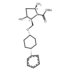 COC(=O)N1[C@H](C)CC(O)[C@@H]1CO[C@H]1CC[C@@H](c2ccccc2)CC1